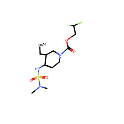 COCC1CN(C(=O)OCC(F)F)CCC1NS(=O)(=O)N(C)C